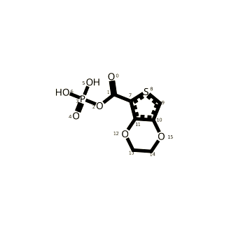 O=C(OP(=O)(O)O)c1scc2c1OCCO2